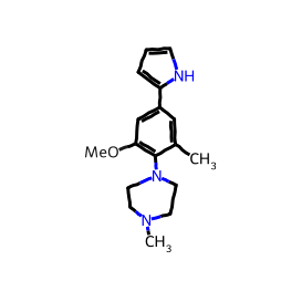 COc1cc(-c2ccc[nH]2)cc(C)c1N1CCN(C)CC1